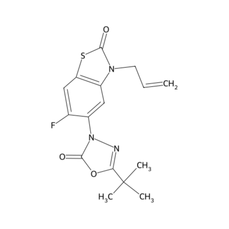 C=CCn1c(=O)sc2cc(F)c(-n3nc(C(C)(C)C)oc3=O)cc21